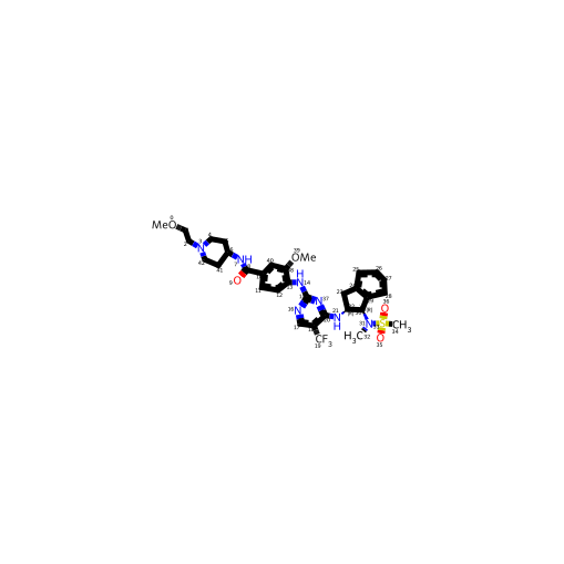 COCCN1CCC(NC(=O)c2ccc(Nc3ncc(C(F)(F)F)c(N[C@@H]4Cc5ccccc5[C@H]4N(C)S(C)(=O)=O)n3)c(OC)c2)CC1